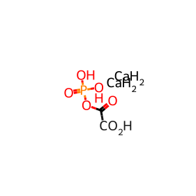 O=C(O)C(=O)OP(=O)(O)O.[CaH2].[CaH2]